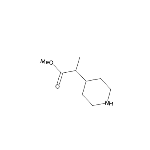 COC(=O)C(C)C1CCNCC1